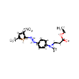 C=COC(=O)CCN(CC)c1ccc(N=Nc2sc([N+](=O)[O-])cc2[N+](=O)[O-])cc1